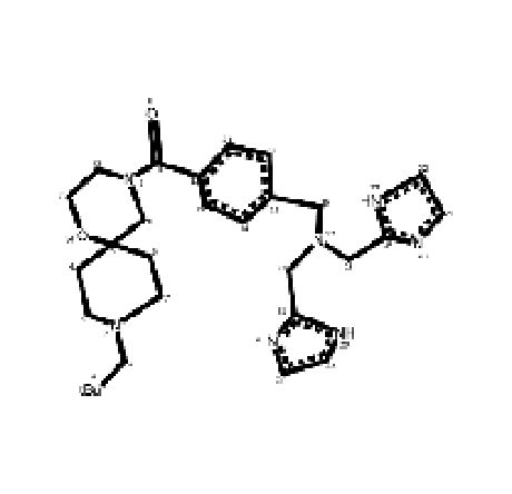 CC(C)(C)CN1CCC2(CC1)CN(C(=O)c1ccc(CN(Cc3ncc[nH]3)Cc3ncc[nH]3)cc1)CCO2